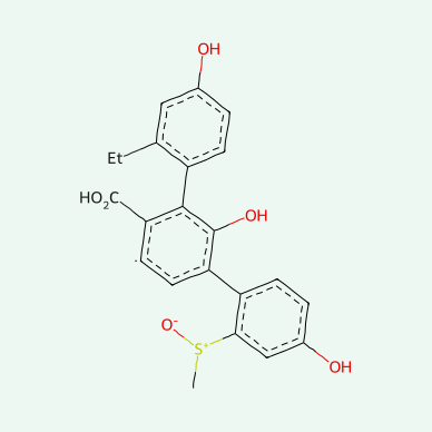 CCc1cc(O)ccc1-c1c(C(=O)O)[c]cc(-c2ccc(O)cc2[S+](C)[O-])c1O